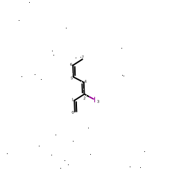 C=C/C(I)=C\C=C/C